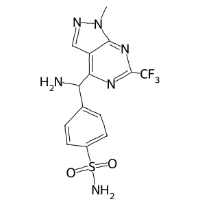 Cn1ncc2c(C(N)c3ccc(S(N)(=O)=O)cc3)nc(C(F)(F)F)nc21